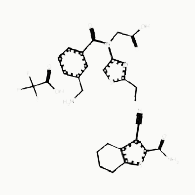 CCc1nc(N(CC(=O)O)C(=O)c2cccc(CN)c2)cs1.N#Cc1c(C(N)=O)sc2c1CCCC2.O=C(O)C(F)(F)F